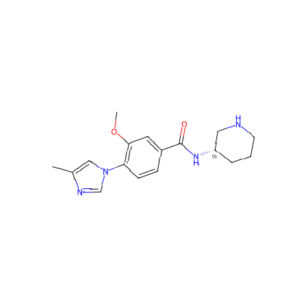 COc1cc(C(=O)N[C@H]2CCCNC2)ccc1-n1cnc(C)c1